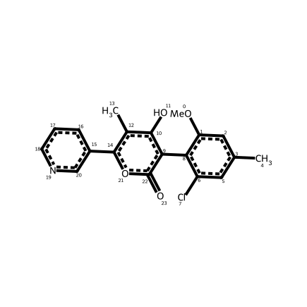 COc1cc(C)cc(Cl)c1-c1c(O)c(C)c(-c2cccnc2)oc1=O